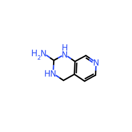 NC1NCc2ccncc2N1